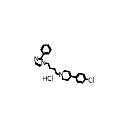 Cl.Clc1ccc(C2=CCN(CCCCn3ccnc3-c3ccccc3)CC2)cc1